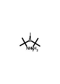 CC(C)(N)B(I)C(C)(C)N